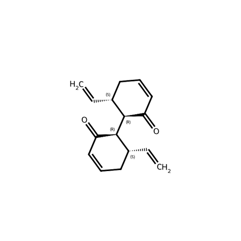 C=C[C@@H]1CC=CC(=O)[C@H]1[C@@H]1C(=O)C=CC[C@H]1C=C